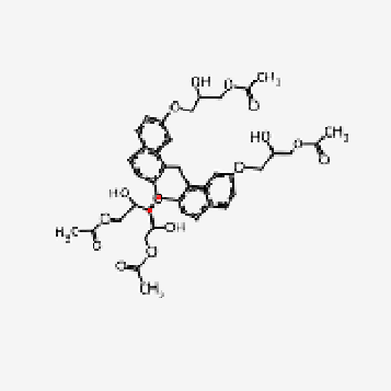 CC(=O)OCC(O)COc1ccc2ccc(OCC(O)COC(C)=O)c(Cc3c(OCC(O)COC(C)=O)ccc4ccc(OCC(O)COC(C)=O)cc34)c2c1